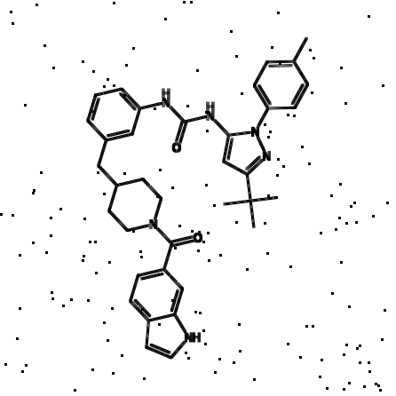 Cc1ccc(-n2nc(C(C)(C)C)cc2NC(=O)Nc2cccc(CC3CCN(C(=O)c4ccc5cc[nH]c5c4)CC3)c2)cc1